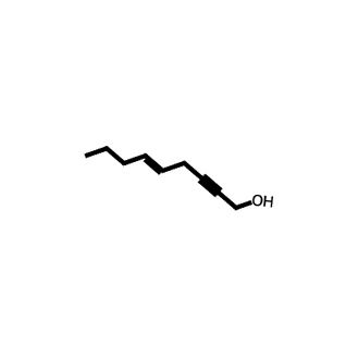 CCC/C=C/CC#CCO